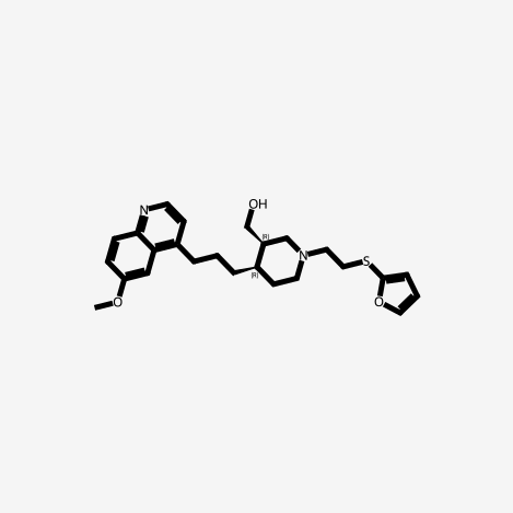 COc1ccc2nccc(CCC[C@@H]3CCN(CCSc4ccco4)C[C@@H]3CO)c2c1